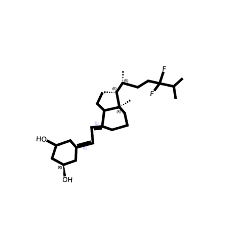 CC(C)C(F)(F)CC[C@@H](C)[C@H]1CCC2/C(=C/C=C3\CC(O)C[C@H](O)C3)CCC[C@@]21C